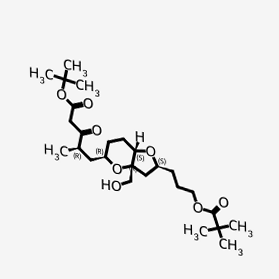 C[C@H](C[C@H]1CC[C@@H]2O[C@@H](CCCOC(=O)C(C)(C)C)C[C@]2(CO)O1)C(=O)CC(=O)OC(C)(C)C